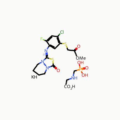 COC(=O)CSc1cc(/N=c2\sc(=O)n3n2CCCC3)c(F)cc1Cl.O=C(O)CNCP(=O)(O)O.[KH]